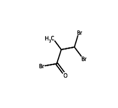 CC(C(=O)Br)C(Br)Br